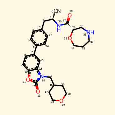 N#C[C@H](Cc1ccc(-c2ccc3oc(=O)n(CC4CCOCC4)c3c2)cc1)NC(=O)[C@@H]1CNCCCO1